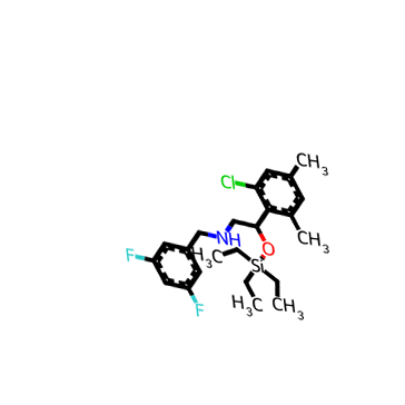 CC[Si](CC)(CC)OC(CNCc1cc(F)cc(F)c1)c1c(C)cc(C)cc1Cl